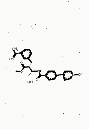 COC(=O)[C@H](Cc1cccc(C(=N)N)c1)[C@@H](C)NC(=O)c1ccc(-c2cc[n+]([O-])cc2)cc1.Cl